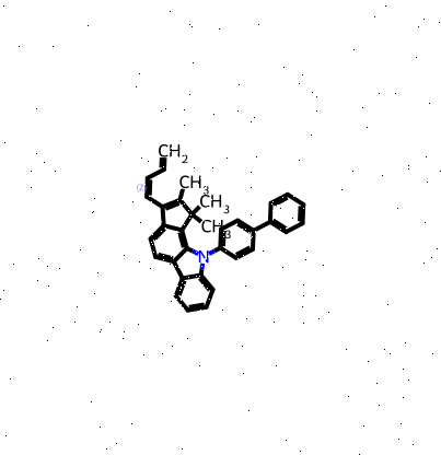 C=C/C=C\C1=C(C)C(C)(C)c2c1ccc1c3ccccc3n(-c3ccc(-c4ccccc4)cc3)c21